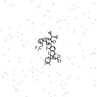 CCC(=O)N[C@@H](C(=O)N1CCN(C)[C@H](C)C1)[C@@H](C)c1ccc(NC(=O)[C@@H](NC(=O)c2ccnn2CC(F)(F)F)C(C2CC2)C2CC2)c(F)c1